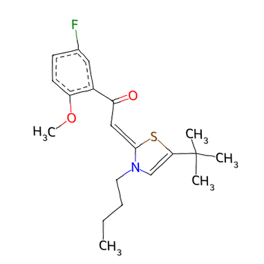 CCCCN1C=C(C(C)(C)C)SC1=CC(=O)c1cc(F)ccc1OC